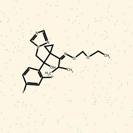 CCOCO/N=C(\C(C)C)C1(C(O)(Cn2cncn2)c2ccc(F)cc2F)CC1